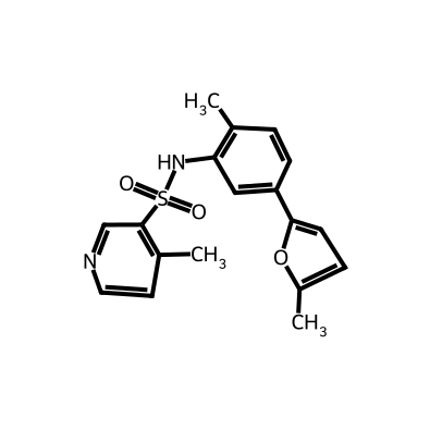 Cc1ccc(-c2ccc(C)c(NS(=O)(=O)c3cnccc3C)c2)o1